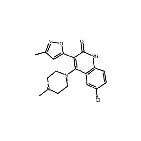 Cc1cc(-c2c(N3CCN(C)CC3)c3cc(Cl)ccc3[nH]c2=O)on1